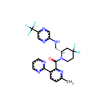 Cc1ccc(-c2ncccn2)c(C(=O)N2CCC(F)(F)C[C@H]2CNc2cnc(C(F)(F)F)cn2)n1